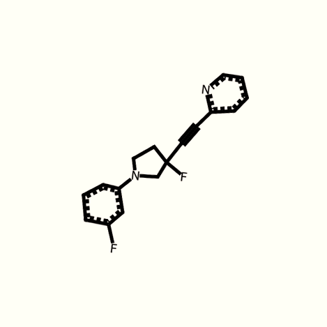 Fc1cccc(N2CCC(F)(C#Cc3ccccn3)C2)c1